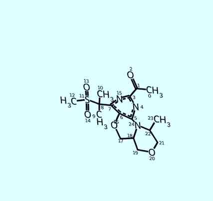 CC(=O)c1nc2c(c(C(C)(C)S(C)(=O)=O)n1)OCC1COCC(C)N21